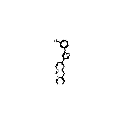 C=N/C=C\C(=N/CCC(=C/C)/N=C\C)c1cnn(-c2cccc(Cl)c2)c1